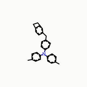 Cc1ccc(N(c2ccc(C)cc2)c2ccc(Cc3ccc4c(c3)CC4)cc2)cc1